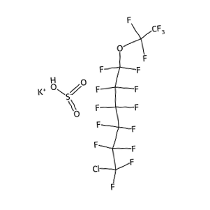 FC(F)(F)C(F)(F)OC(F)(F)C(F)(F)C(F)(F)C(F)(F)C(F)(F)C(F)(F)Cl.O=[S-](=O)O.[K+]